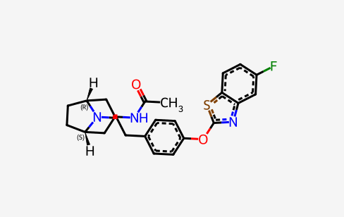 CC(=O)NC1C[C@H]2CC[C@@H](C1)N2CCc1ccc(Oc2nc3cc(F)ccc3s2)cc1